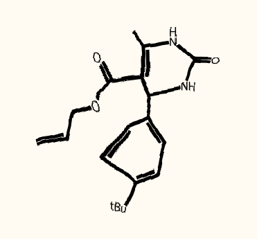 C=CCOC(=O)C1=C(C)NC(=O)NC1c1ccc(C(C)(C)C)cc1